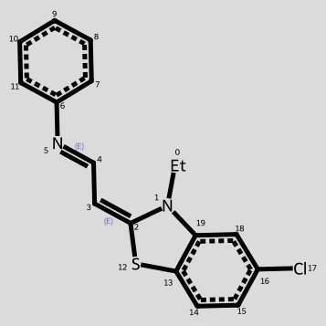 CCN1/C(=C\C=N\c2ccccc2)Sc2ccc(Cl)cc21